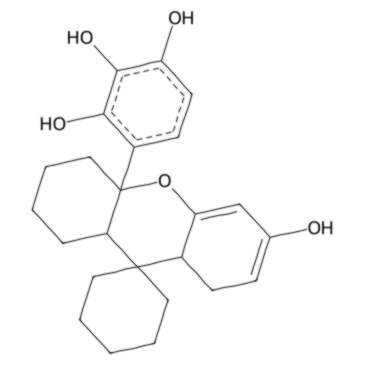 OC1=CCC2C(=C1)OC1(c3ccc(O)c(O)c3O)CCCCC1C21CCCCC1